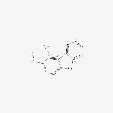 O=Nc1ccc2oc3ccccc3c2c1Br